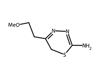 COCCC1=NN=C(N)SC1